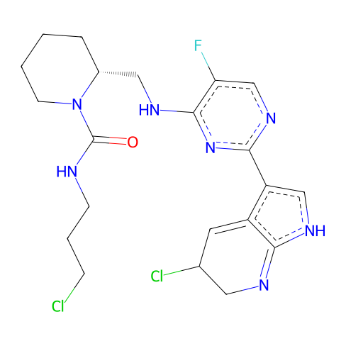 O=C(NCCCCl)N1CCCC[C@@H]1CNc1nc(-c2c[nH]c3c2=CC(Cl)CN=3)ncc1F